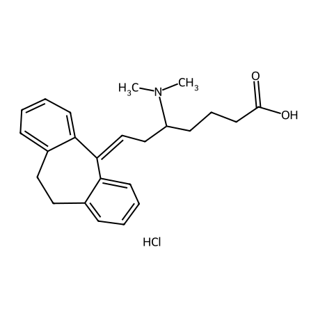 CN(C)C(CC=C1c2ccccc2CCc2ccccc21)CCCC(=O)O.Cl